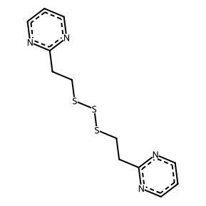 c1cnc(CCSSSCCc2ncccn2)nc1